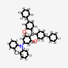 Cc1ccccc1N(c1ccccc1)c1cc2c3c(c1)Oc1cc(-c4ccccc4)ccc1B3c1ccc(-c3ccccc3)cc1O2